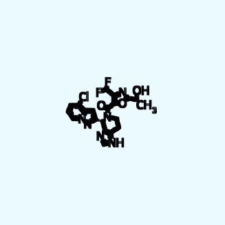 CC(O)c1nc(C(F)F)c(C(=O)N2CCc3[nH]cnc3[C@@H]2c2cc3c(Cl)cccn3n2)o1